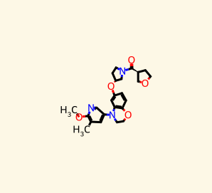 COc1ncc(N2CCOc3ccc(O[C@H]4CCN(C(=O)[C@H]5CCOC5)C4)cc32)cc1C